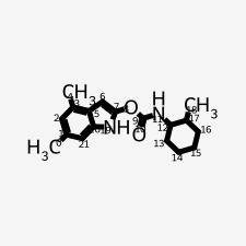 Cc1cc(C)c2cc(OC(=O)NC3CCCCC3C)[nH]c2c1